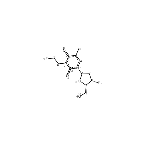 Cc1cn(C2C[C@H](F)[C@@H](CO)O2)c(=O)n(CCF)c1=O